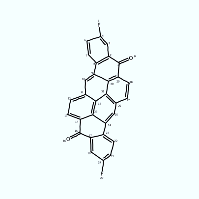 O=c1c2cc(F)ccc2c2cc3ccc4c(=O)c5cc(F)ccc5c5cc6ccc1c2c6c3c45